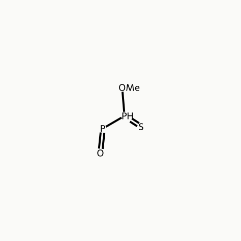 CO[PH](=S)P=O